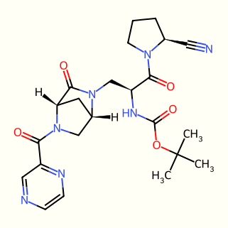 CC(C)(C)OC(=O)N[C@@H](CN1C(=O)[C@@H]2C[C@H]1CN2C(=O)c1cnccn1)C(=O)N1CCC[C@H]1C#N